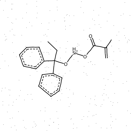 C=C(C)C(=O)O[SiH2]OC(CC)(c1ccccc1)c1ccccc1